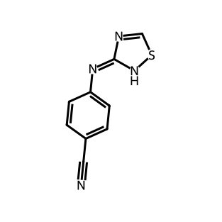 N#Cc1ccc(N=c2ncs[nH]2)cc1